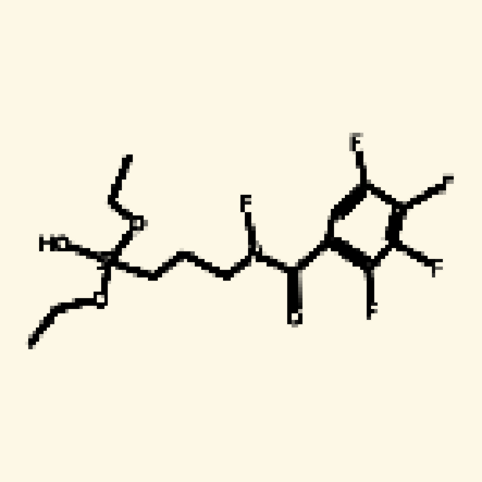 CCO[Si](O)(CCCN(F)C(=O)c1cc(F)c(F)c(F)c1F)OCC